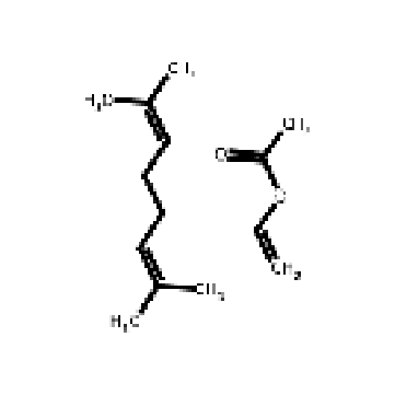 C=COC(C)=O.CC(C)=CCCC=C(C)C